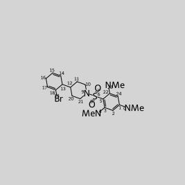 CNc1cc(NC)c(S(=O)(=O)N2CCC(C3C=CCC=C3Br)CC2)c(NC)c1